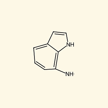 [NH]c1cccc2cc[nH]c12